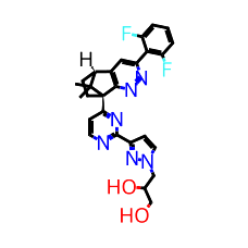 CC1(C)[C@H]2CC[C@@]1(c1ccnc(-c3ccn(CC(O)CO)n3)n1)c1nnc(-c3c(F)cccc3F)cc12